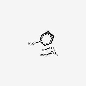 CC(C)=O.CCCCCCC.Cc1ccccc1